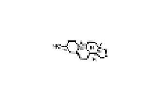 C[C@@]12CCC[C@H]1C1CC=C3C[C@@H](O)CC[C@]3(C)[C@H]1CC2